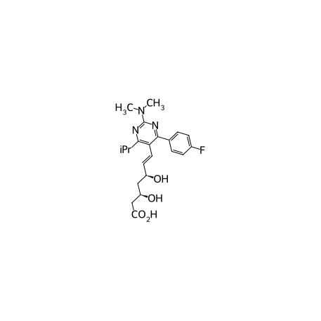 CC(C)c1nc(N(C)C)nc(-c2ccc(F)cc2)c1C=C[C@@H](O)C[C@@H](O)CC(=O)O